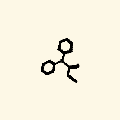 C=CC(=O)N(c1ccccc1)c1ccccc1